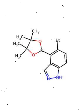 CCc1ccc2[nH]ncc2c1B1OC(C)(C)C(C)(C)O1